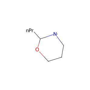 CCCC1[N]CCCO1